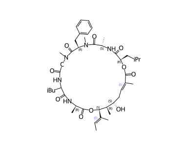 C/C=C(\C)[C@H]1OC(=O)[C@@H](C)NC(=O)C(C(C)CC)NC(=O)CN(C)C(=O)[C@@H](Cc2ccccc2)N(C)C(=O)[C@H](C)NC(=O)[C@@H](CC(C)C)OC(=O)/C(C)=C/C[C@H](O)[C@H]1C